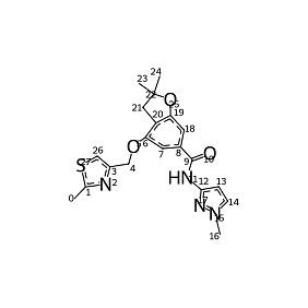 Cc1nc(COc2cc(C(=O)Nc3ccn(C)n3)cc3c2CC(C)(C)O3)cs1